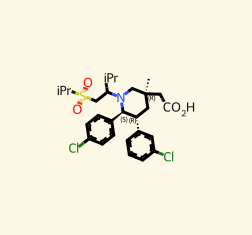 CC(C)C(CS(=O)(=O)C(C)C)N1C[C@@](C)(CC(=O)O)C[C@H](c2cccc(Cl)c2)[C@H]1c1ccc(Cl)cc1